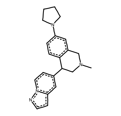 CN1Cc2cc(N3CCCC3)ccc2C(c2ccn3nccc3c2)C1